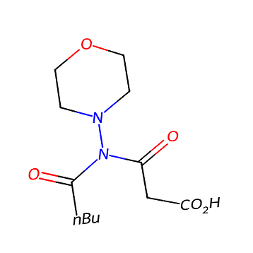 CCCCC(=O)N(C(=O)CC(=O)O)N1CCOCC1